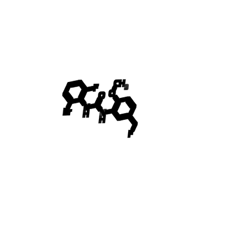 COc1ccc(CF)cc1NC(=O)Nc1c(F)cccc1Br